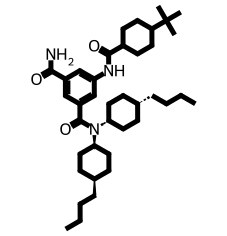 CCCC[C@H]1CC[C@@H](N(C(=O)c2cc(NC(=O)C3CCC(C(C)(C)C)CC3)cc(C(N)=O)c2)[C@H]2CC[C@@H](CCCC)CC2)CC1